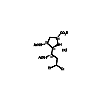 CCC(CC)C[C@H](NC(C)=O)[C@@H]1N[C@@H](C(=O)O)C[C@H]1NC(C)=O.Cl